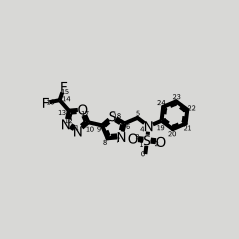 CS(=O)(=O)N(Cc1ncc(-c2nnc(C(F)F)o2)s1)c1ccccc1